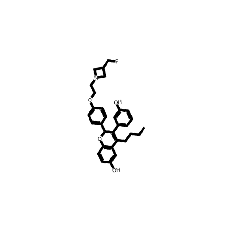 CCCCC1=C(c2cccc(O)c2)C(c2ccc(OCCN3CC(CF)C3)cc2)Oc2ccc(O)cc21